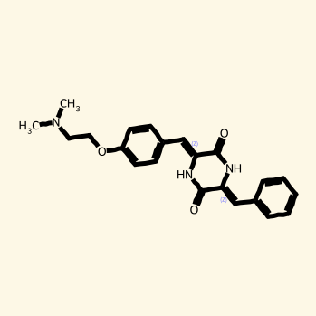 CN(C)CCOc1ccc(/C=c2\[nH]c(=O)/c(=C/c3ccccc3)[nH]c2=O)cc1